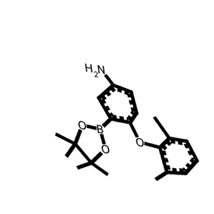 Cc1cccc(C)c1Oc1ccc(N)cc1B1OC(C)(C)C(C)(C)O1